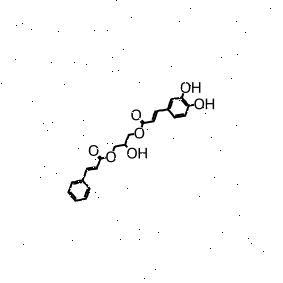 O=C(C=Cc1ccccc1)OCC(O)COC(=O)C=Cc1ccc(O)c(O)c1